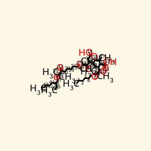 CCCCCCOC(C)(C)C(=O)C1CC(C(CC(=O)O)C(=O)C(C)(C)OCCCCCC(=O)C(C)(C)OCC(CC)CCCC)C=C(C)C1C(=O)O